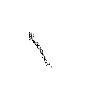 [CH2]COCCOCCOCCOCCOCCN=[N+]=[N-]